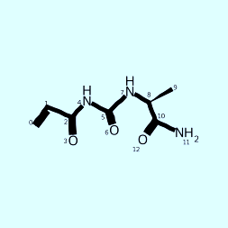 C=CC(=O)NC(=O)N[C@@H](C)C(N)=O